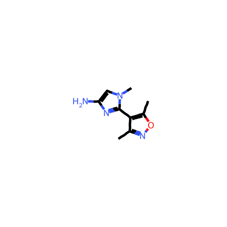 Cc1noc(C)c1-c1nc(N)cn1C